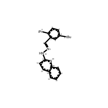 CC(C)c1ccc(C(C)(C)C)cc1/C=N/Nc1ccc2ccccc2n1